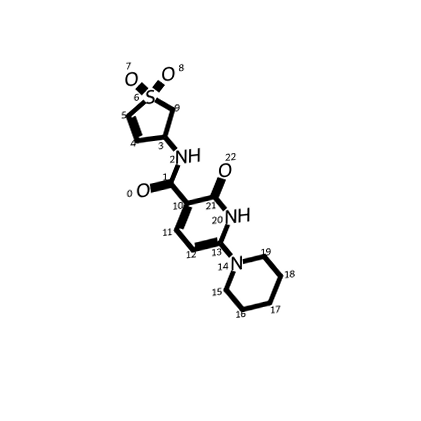 O=C(NC1C=CS(=O)(=O)C1)c1ccc(N2CCCCC2)[nH]c1=O